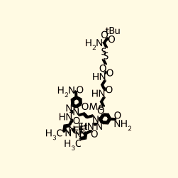 CCn1nc(C)cc1C(=O)Nc1nc2cc(C(N)=O)cc(OC)c2n1C/C=C/Cn1c(NC(=O)c2cc(C)nn2CC)nc2cc(C(N)=O)cc(OCCCNC(=O)CCNC(=O)OCCSSC[C@H](N)C(=O)OC(C)(C)C)c21